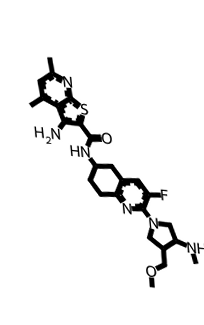 CNC1CN(c2nc3c(cc2F)CC(NC(=O)c2sc4nc(C)cc(C)c4c2N)CC3)CC1COC